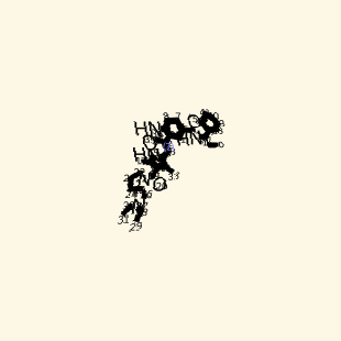 CC[C@@H](NC(=O)c1ccc2c(c1)/C(=C/c1[nH]c(C)c(C(=O)N3CCC[C@@H]3CN(CC)CC)c1C)C(=O)N2)c1ccccc1